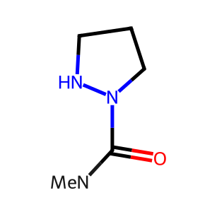 CNC(=O)N1CCCN1